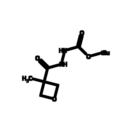 CC(C)(C)OC(=O)NNC(=O)C1(C)COC1